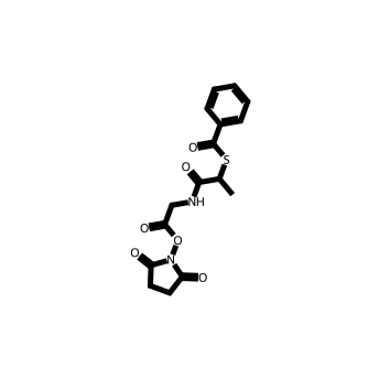 CC(SC(=O)c1ccccc1)C(=O)NCC(=O)ON1C(=O)CCC1=O